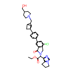 CCOC(=O)C(c1ncn2c1CCC2)N1Cc2c(Cl)cc(-c3ccc(C45CC(CN6CCC(CO)CC6)C(C4)C5)cc3)cc2C1=O